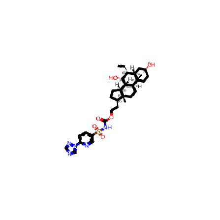 CC[C@H]1[C@@H](O)[C@@H]2[C@H](CC[C@]3(C)[C@@H](CCOC(=O)NS(=O)(=O)c4ccc(-n5cncn5)nc4)CC[C@@H]23)[C@@]2(C)CC[C@@H](O)C[C@@H]12